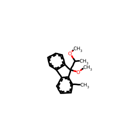 COC(C)C1(OC)c2ccccc2-c2cccc(C)c21